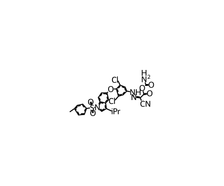 Cc1ccc(S(=O)(=O)n2cc(C(C)C)c3cc(Oc4c(Cl)cc(NN=C(C#N)C(=O)OC(N)=O)cc4Cl)ccc32)cc1